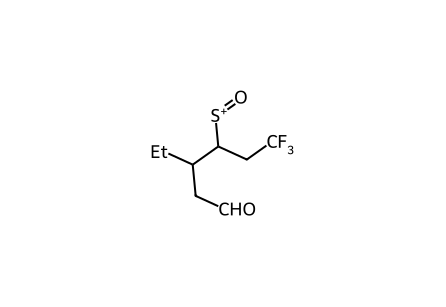 CCC(CC=O)C(CC(F)(F)F)[S+]=O